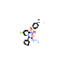 Cc1ccc(S(=O)(=O)N=c2ccc(F)cn2C(C(N)=O)c2ccccc2)cc1